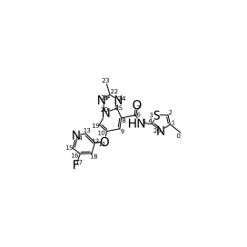 Cc1csc(NC(=O)c2cc(Oc3cncc(F)c3)cn3nc(C)nc23)n1